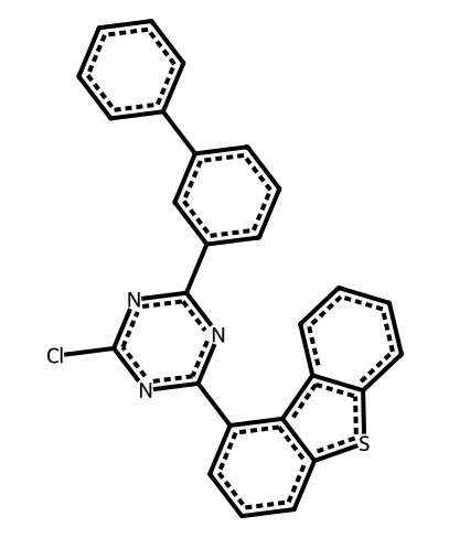 Clc1nc(-c2cccc(-c3ccccc3)c2)nc(-c2cccc3sc4ccccc4c23)n1